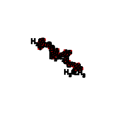 Cc1ccccc1N(C1=CC2=Cc3oc4cc5oc6cc7cc(N(c8ccccc8C)c8cccc9c8oc8ccccc89)ccc7cc6c5cc4c3CC2C=C1)c1ccc(CC(C)c2ccc(N(c3ccc4cc5c(cc4c3)oc3cc4oc6cc7cc(N(c8ccc(C(C)C)cc8)c8cccc9c8oc8ccccc89)ccc7cc6c4cc35)c3cccc4c3oc3ccccc34)cc2)c2c1oc1ccccc12